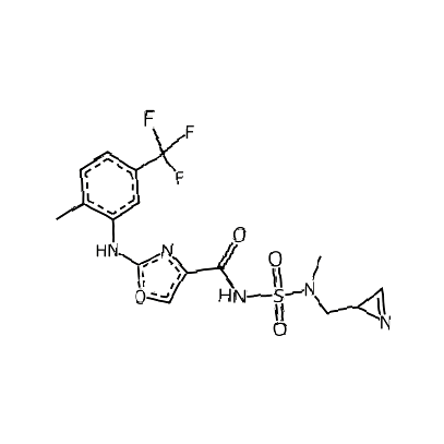 Cc1ccc(C(F)(F)F)cc1Nc1nc(C(=O)NS(=O)(=O)N(C)CC2C=N2)co1